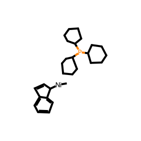 C1CCC(P(C2CCCCC2)C2CCCCC2)CC1.[CH3][Ni][CH]1C=Cc2ccccc21